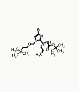 C=CC[C@H](NC(=O)OC(C)(C)C)c1nc(Br)cn1COCC[Si](C)(C)C